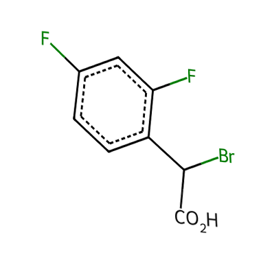 O=C(O)C(Br)c1ccc(F)cc1F